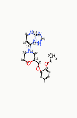 CCOc1ccccc1OCC1CN(c2ccnc3ncnn23)CCO1